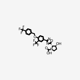 O=C(O)N1CC[C@H](O)[C@H]1c1nc(-c2ccc(OCc3ccc(C(F)(F)F)cc3)c(C(F)(F)F)c2)no1